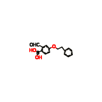 O=Cc1cc(OCCc2ccccc2)ccc1B(O)O